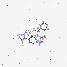 Cn1ncc(Cl)c1-c1ccc2[nH]c(=O)n3c2c1OCC3c1ccccc1